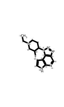 CCN1CCC(n2nnc3cnc4[nH]ccc4c32)C(F)C1